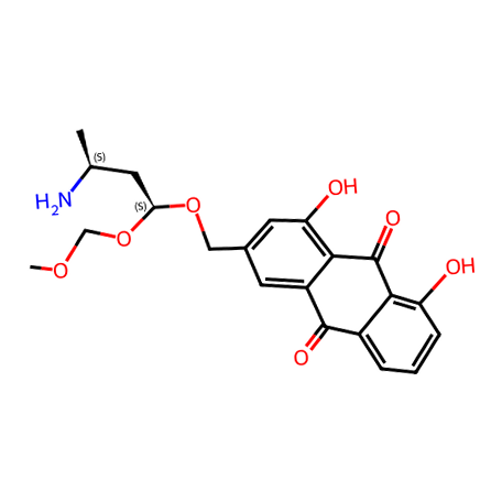 COCO[C@@H](C[C@H](C)N)OCc1cc(O)c2c(c1)C(=O)c1cccc(O)c1C2=O